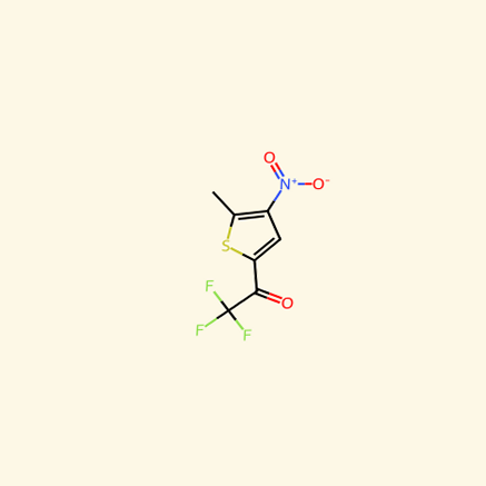 Cc1sc(C(=O)C(F)(F)F)cc1[N+](=O)[O-]